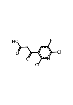 O=C(O)CC(=O)c1cc(F)c(Cl)nc1Cl